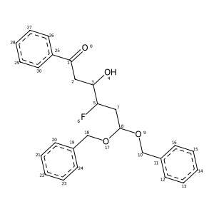 O=C(CC(O)C(F)CC(OCc1ccccc1)OCc1ccccc1)c1ccccc1